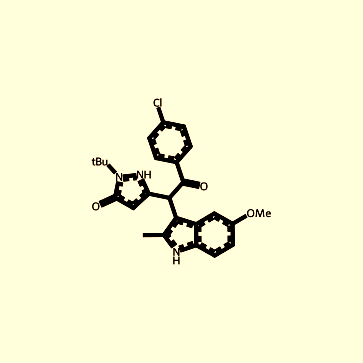 COc1ccc2[nH]c(C)c(C(C(=O)c3ccc(Cl)cc3)c3cc(=O)n(C(C)(C)C)[nH]3)c2c1